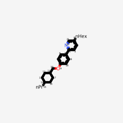 CCCCCCc1ccc(-c2ccc(OCC3CCC(CCC)CC3)cc2)nc1